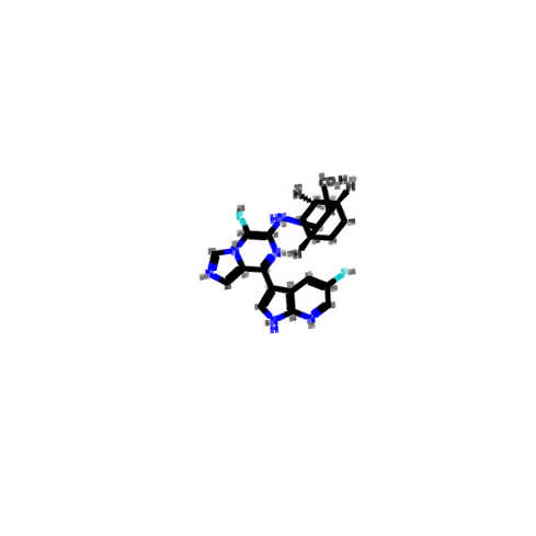 O=C(O)[C@@H]1C(Nc2nc(-c3c[nH]c4ncc(F)cc34)c3cncn3c2F)[C@H]2CC[C@@H]1CC2